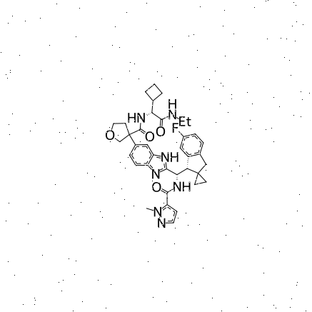 CCNC(=O)[C@H](NC(=O)C1(c2ccc3nc([C@@H](NC(=O)c4ccnn4C)[C@@H]4c5cc(F)ccc5CC45CC5)[nH]c3c2)CCOC1)C1CCC1